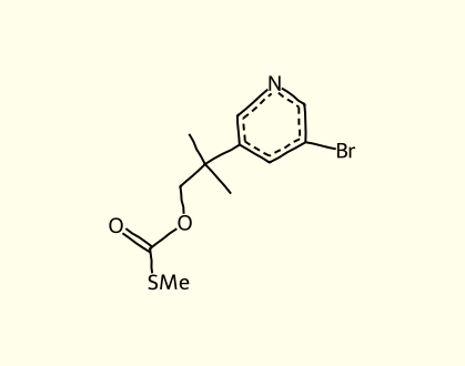 CSC(=O)OCC(C)(C)c1cncc(Br)c1